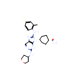 Cc1cc(F)ccc1Nc1nc2cnc(NC3CCOCC3)nc2n1[C@H]1CC[C@@H](C(N)=O)CC1